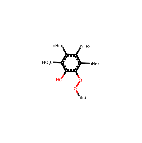 CCCCCCc1c(CCCCCC)c(OOCCCC)c(O)c(C(=O)O)c1CCCCCC